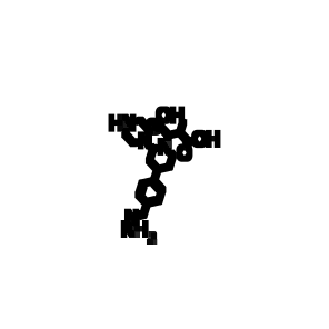 CC(C(=O)O)C(C(=O)O)N1CCC(c2ccc(C=NN)cc2)CC1N1CCNCC1